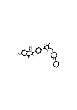 Cc1oc(-c2ccc(C(=O)Nc3ccc(F)cc3F)cc2)nc1CN1CCN(C2=CCCC=C2)CC1